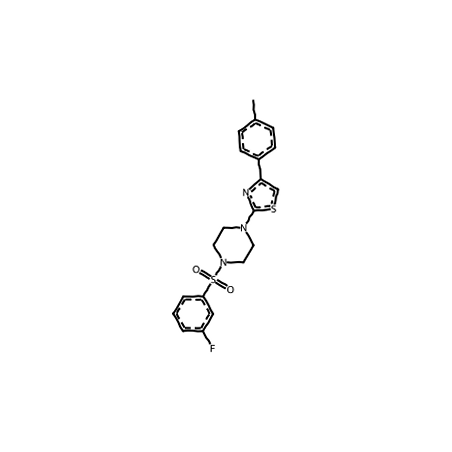 Cc1ccc(-c2csc(N3CCN(S(=O)(=O)c4cccc(F)c4)CC3)n2)cc1